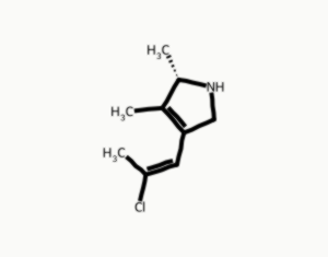 CC1=C(/C=C(\C)Cl)CN[C@H]1C